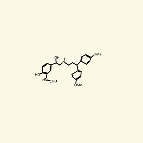 COc1ccc(C(CCNCC(O)c2ccc(O)c(NC=O)c2)c2ccc(OC)cc2)cc1